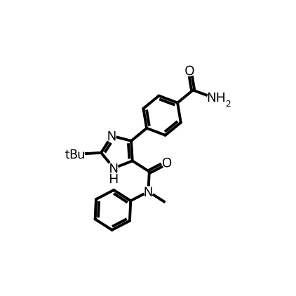 CN(C(=O)c1[nH]c(C(C)(C)C)nc1-c1ccc(C(N)=O)cc1)c1ccccc1